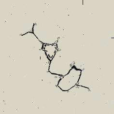 CC(C)c1cc(CN2CCN(C)CC2)no1